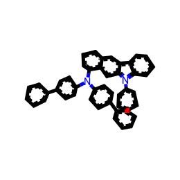 c1ccc(-c2ccc(N(c3ccc(-c4ccccc4)cc3)c3cccc4cc5c6ccccc6n(-c6ccccc6)c5cc34)cc2)cc1